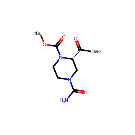 COC(=O)[C@@H]1CN(C(N)=O)CCN1C(=O)OC(C)(C)C